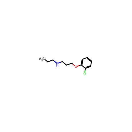 CCCNCCCOc1ccccc1Cl